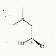 CC[C@@H](O)CN(C)C